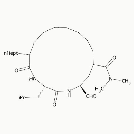 CCCCCCCC1CCCCCCCC(C(=O)N(C)C)C[C@@H](C=O)NC(=O)[C@H](CC(C)C)NC1=O